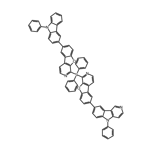 c1ccc(-n2c3ccccc3c3cc(-c4ccc5oc6c([Si](c7ccccc7)(c7ccccc7)c7nccc8c7oc7ccc(-c9ccc%10c(c9)c9cnccc9n%10-c9ccccc9)cc78)nccc6c5c4)ccc32)cc1